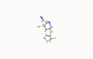 CC1=CCCC=C1Oc1cnc(C#N)c(F)c1